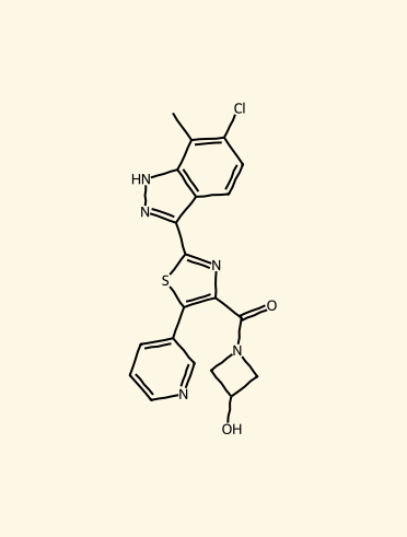 Cc1c(Cl)ccc2c(-c3nc(C(=O)N4CC(O)C4)c(-c4cccnc4)s3)n[nH]c12